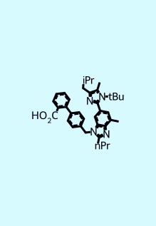 CCCc1nc2c(C)cc(-c3nc(CC(C)C)c(C)n3C(C)(C)C)cc2n1Cc1ccc(-c2ccccc2C(=O)O)cc1